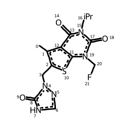 Cc1c(Cn2nc[nH]c2=O)sc2c1c(=O)n(C(C)C)c(=O)n2CF